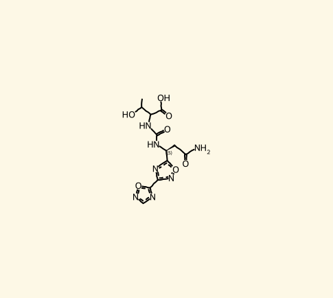 CC(O)C(NC(=O)N[C@@H](CC(N)=O)c1nc(-c2ncno2)no1)C(=O)O